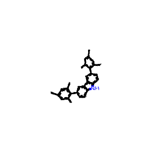 Cc1cc(C)c(-c2c[c]c3[nH]c4ccc(-c5c(C)cc(C)cc5C)cc4c3c2)c(C)c1